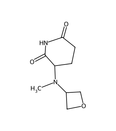 CN(C1COC1)C1CCC(=O)NC1=O